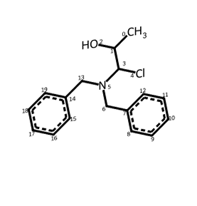 CC(O)C(Cl)N(Cc1ccccc1)Cc1ccccc1